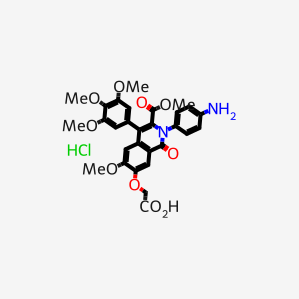 COC(=O)c1c(-c2cc(OC)c(OC)c(OC)c2)c2cc(OC)c(OCC(=O)O)cc2c(=O)n1-c1ccc(N)cc1.Cl